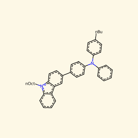 CCCCCCCCn1c2ccccc2c2cc(-c3ccc(N(c4ccccc4)c4ccc(CCCC)cc4)cc3)ccc21